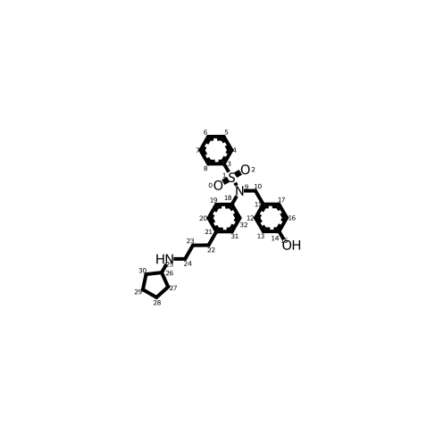 O=S(=O)(c1ccccc1)N(Cc1ccc(O)cc1)c1ccc(CCCNC2CCCC2)cc1